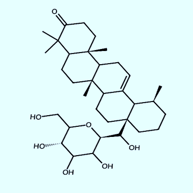 C[C@H]1CCC[C@]2(C(O)[C@@H]3OC(CO)[C@@H](O)C(O)C3O)CCC3C(=CCC4[C@@]3(C)CCC3C(C)(C)C(=O)CC[C@@]34C)C12